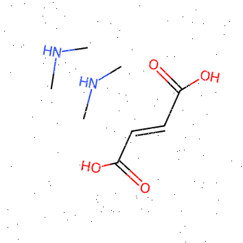 CNC.CNC.O=C(O)/C=C/C(=O)O